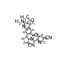 C[C@@H]1OCc2c1c(N)nc1ccc(C(=O)N(Cc3ccc(C#N)cn3)[C@H]3CCC[C@H]3C#N)cc21